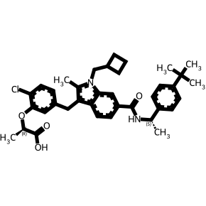 Cc1c(Cc2ccc(Cl)c(O[C@H](C)C(=O)O)c2)c2ccc(C(=O)N[C@@H](C)c3ccc(C(C)(C)C)cc3)cc2n1CC1CCC1